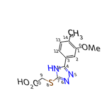 COc1cc(-c2nnc(SCC(=O)O)[nH]2)ccc1C